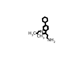 CC(C)Cn1cc(CCN)c2ccc(C3CCCCC3)cc21